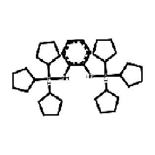 c1ccc(N[PH](C2CCCC2)(C2CCCC2)C2CCCC2)c(N[PH](C2CCCC2)(C2CCCC2)C2CCCC2)c1